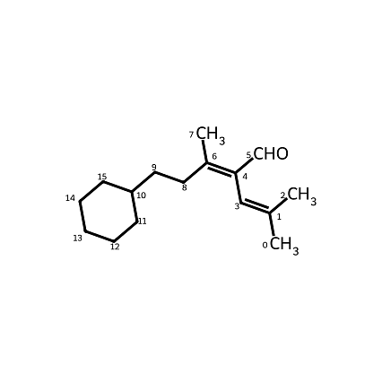 CC(C)=C/C(C=O)=C(/C)CCC1CCCCC1